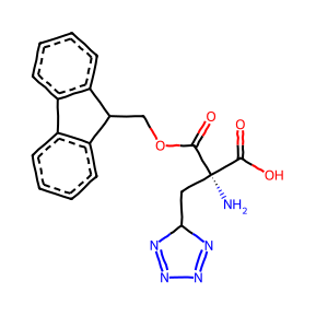 N[C@@](CC1N=NN=N1)(C(=O)O)C(=O)OCC1c2ccccc2-c2ccccc21